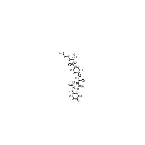 CCCCCC(CC)OC(=O)c1ccc(OCC(=O)N2CC(C)N(Cc3ccc(F)cc3)CC2C)cc1